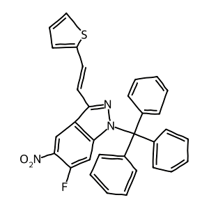 O=[N+]([O-])c1cc2c(C=Cc3cccs3)nn(C(c3ccccc3)(c3ccccc3)c3ccccc3)c2cc1F